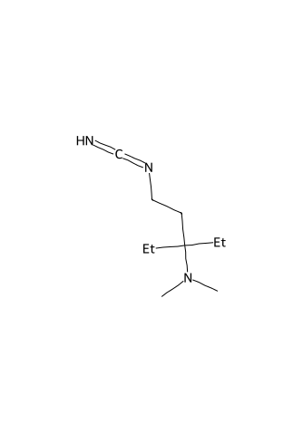 CCC(CC)(CCN=C=N)N(C)C